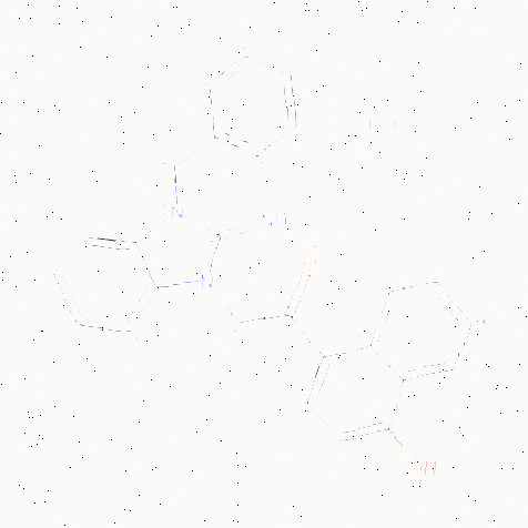 Br.N=c1n(CC(=O)c2ccc(O)c3ccccc23)c2ccccc2n1Cc1ccccc1